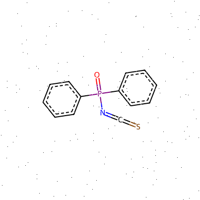 O=P(N=C=S)(c1ccccc1)c1ccccc1